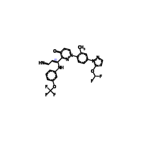 Cc1cc(-n2nccc2OC(F)F)ccc1-n1ccc(=O)c(/C(=C/C=N)Nc2cccc(OC(F)(F)F)c2)n1